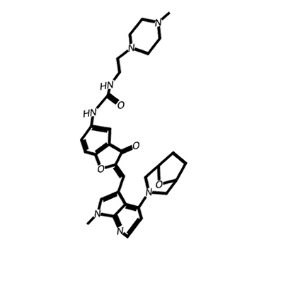 CN1CCN(CCNC(=O)Nc2ccc3c(c2)C(=O)C(=Cc2cn(C)c4nccc(N5CC6CCC(C5)O6)c24)O3)CC1